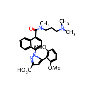 COc1cccc(OC)c1-c1cc(C(=O)O)nn1-c1ccc(C(=O)N(C)CCCN(C)C)c2ccccc12